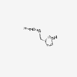 [N-]=[N+]=NCc1cc[nH]c1